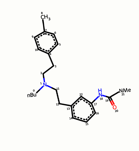 CCCCN(CCc1ccc(C)cc1)CCc1cccc(NC(=O)NC)c1